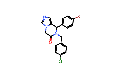 O=C1Cn2cncc2C(c2ccc(Br)cc2)N1Cc1ccc(Cl)cc1